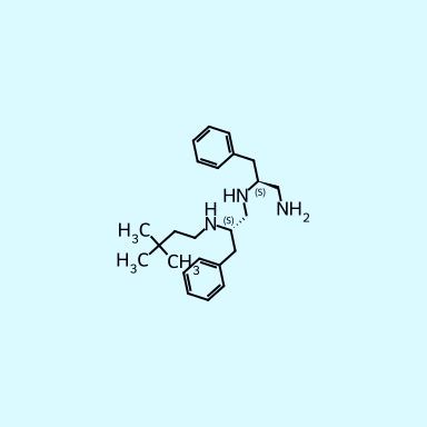 CC(C)(C)CCN[C@H](CN[C@H](CN)Cc1ccccc1)Cc1ccccc1